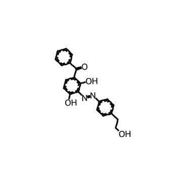 O=C(c1ccccc1)c1ccc(O)c(N=Nc2ccc(CCO)cc2)c1O